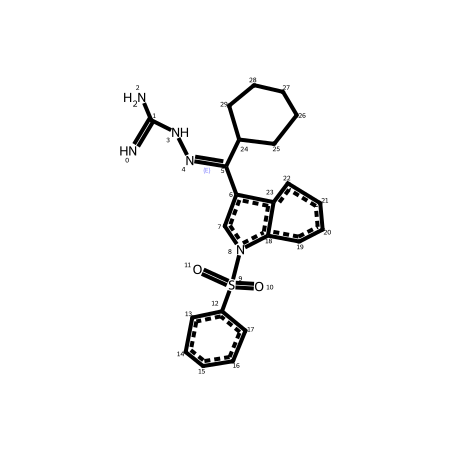 N=C(N)N/N=C(/c1cn(S(=O)(=O)c2ccccc2)c2ccccc12)C1CCCCC1